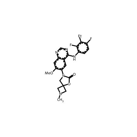 CCc1c(F)ccc(Nc2ncnc3cc(OC)c(N4CC5(CN(C)C5)OC4=O)cc23)c1F